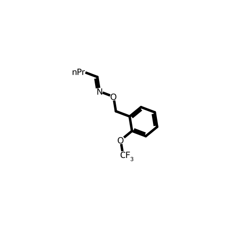 CCCC=NOCc1ccccc1OC(F)(F)F